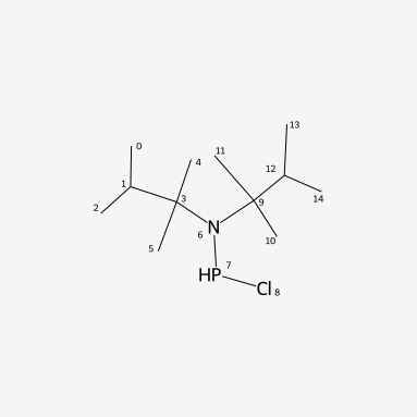 CC(C)C(C)(C)N(PCl)C(C)(C)C(C)C